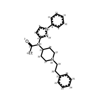 CCC(=O)N(c1ccn(-c2ccccc2)n1)C1CCN(CCc2ccccc2)CC1